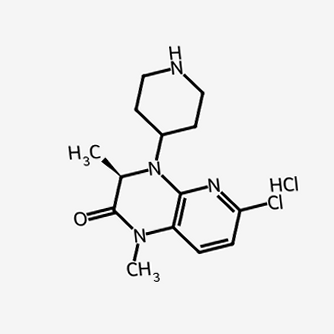 C[C@@H]1C(=O)N(C)c2ccc(Cl)nc2N1C1CCNCC1.Cl